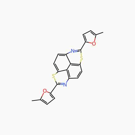 Cc1ccc(C2=Nc3ccc4c5c(ccc(c35)S2)N=C(c2ccc(C)o2)S4)o1